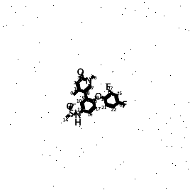 Cc1cc(=O)n(C)cc1-c1cc(N[S+](C)[O-])ccc1Oc1ccc(F)cc1F